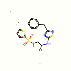 CC(CNS(=O)(=O)c1cccs1)Nc1nc(Cc2ccccc2)ns1